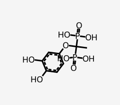 CC(Oc1ccc(O)c(O)c1)(P(=O)(O)O)P(=O)(O)O